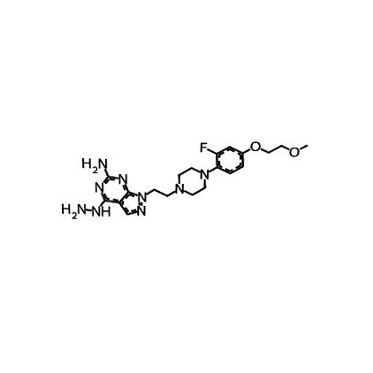 COCCOc1ccc(N2CCN(CCn3ncc4c(NN)nc(N)nc43)CC2)c(F)c1